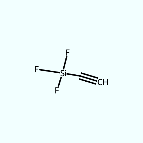 C#C[Si](F)(F)F